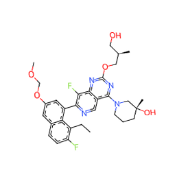 CCc1c(F)ccc2cc(OCOC)cc(-c3ncc4c(N5CCC[C@@](C)(O)C5)nc(OC[C@H](C)CO)nc4c3F)c12